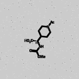 COC(=O)N[C@H](C(=O)O)C1CCN(C(C)=O)CC1